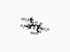 COC(=O)CC1C(NC(=O)/C(=N/OC(C)(C)C(=O)O)c2csc(N)n2)C(=O)N1S(=O)(=O)O